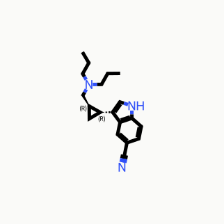 CCCN(CCC)C[C@@H]1C[C@H]1c1c[nH]c2ccc(C#N)cc12